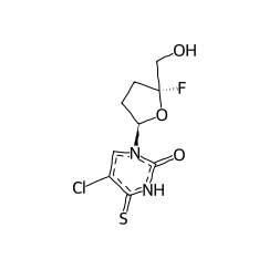 O=c1[nH]c(=S)c(Cl)cn1[C@H]1CC[C@@](F)(CO)O1